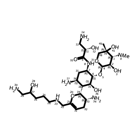 CN[C@@H]1[C@@H](O)[C@@H](O[C@H]2[C@H](NC(=O)[C@@H](O)CN)C[C@H](N)C([C@H]3OC(CNCCCC(O)CN)=CC[C@H]3N)[C@@H]2O)OC[C@]1(C)O